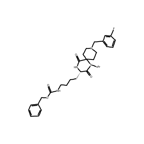 CCCN1C(=O)[C@H](CCCCNC(=O)OCc2ccccc2)NC(=O)C12CCN(Cc1cccc(F)c1)CC2